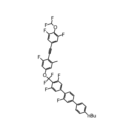 CCCCc1ccc(-c2ccc(-c3cc(F)c(C(F)(F)Oc4cc(C)c(C#Cc5cc(F)c(OC(F)F)c(F)c5)c(F)c4)c(F)c3)c(F)c2)cc1